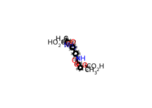 CC(Oc1cccc2oc(C(=O)Nc3ccc(-c4ccc(S(=O)(=O)CC(C)[C@H](N)C(=O)O)cc4)cc3)cc12)C(=O)O